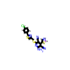 N#Cc1c(N)nc(SCc2csc(-c3ccc(Cl)cc3)n2)c(C#N)c1C1=CN=IS1